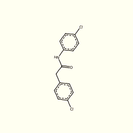 O=C(Cc1ccc(Cl)cc1)Nc1ccc(Cl)cc1